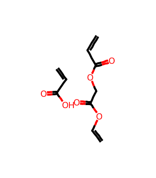 C=CC(=O)O.C=COC(=O)COC(=O)C=C